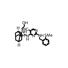 CSc1ccccc1CNc1ncc(C#N)c(NC[C@@]23CC4C[C@H](C2)[C@@H](NCCO)[C@@H](C4)C3)n1